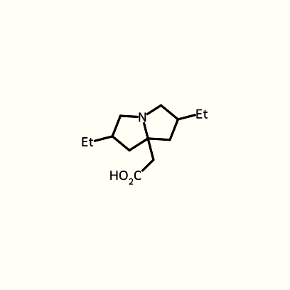 CCC1CN2CC(CC)CC2(CC(=O)O)C1